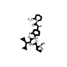 CC(C)n1nccc1C(=O)N[C@H](C(=O)Nc1ccc([C@H](C)C(=O)N2CCCCC2C(F)(F)F)cc1F)C(C1CC1)C1CC1